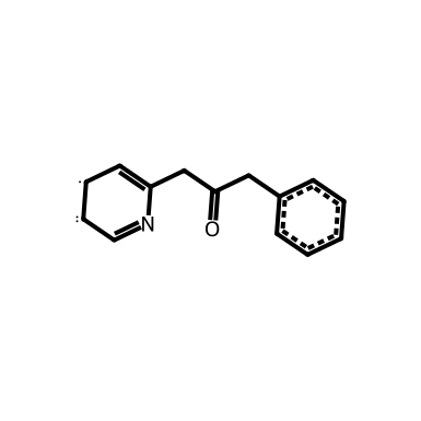 O=C(CC1=C[CH][C]C=N1)Cc1ccccc1